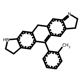 Cc1ccccc1C1=c2cc3c(cc2Cc2cc4c(cc21)CCN4)=NCC3